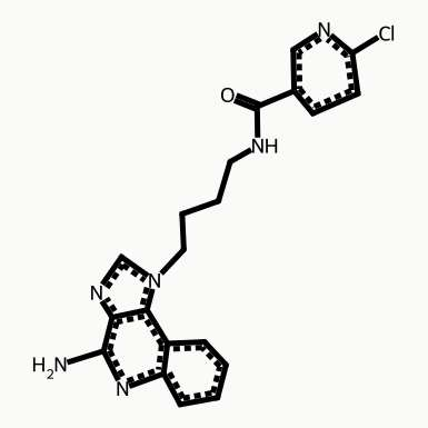 Nc1nc2ccccc2c2c1ncn2CCCCNC(=O)c1ccc(Cl)nc1